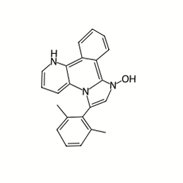 Cc1cccc(C)c1C1=CN(O)C2=c3ccccc3=C3NC=CC=C3N12